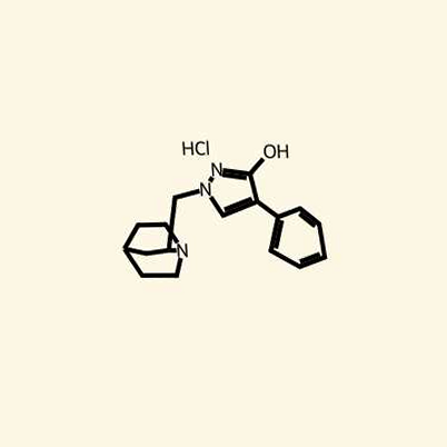 Cl.Oc1nn(CC2CC3CCN2CC3)cc1-c1ccccc1